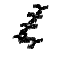 CCCCCCN1C=CN(C)C1.OB(O)O.OB(O)O.OB(O)O.OB(O)O